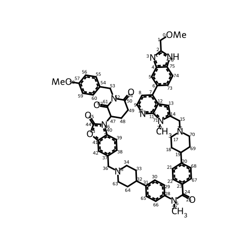 COCc1nc2cc(-c3ccnc4c3cc(CN3CCC(c5ccc(C(=O)N(C)c6ccc(C7CCN(Cc8ccc9c(c8)oc(=O)n9C8CCC(=O)N(Cc9ccc(OC)cc9)C8=O)CC7)cc6)cc5)CC3)n4C)ccc2[nH]1